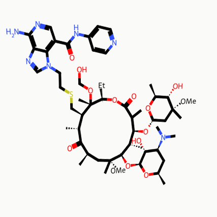 CC[C@H]1OC(=O)C(C)[C@@H](O[C@H]2C[C@@](C)(OC)[C@@H](O)[C@H](C)O2)[C@H](C)[C@@H](O[C@@H]2O[C@H](C)C[C@H](N(C)C)[C@H]2O)[C@](C)(OC)C[C@@H](C)C(=O)[C@H](C)[C@@H](CSCCn2cnc3c(N)ncc(C(=O)Nc4ccncc4)c32)[C@]1(C)OCO